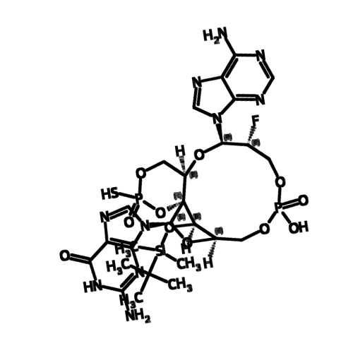 CC(C)(C)[Si](C)(C)O[C@@H]1[C@H]2COP(=O)(O)OC[C@@H](F)[C@H](n3cnc4c(N)ncnc43)O[C@@H]3COP(=O)(S)O[C@@]13[C@H](n1cnc3c(=O)[nH]c(N)nc31)O2